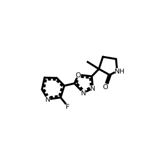 CC1(c2nnc(-c3cccnc3F)o2)CCNC1=O